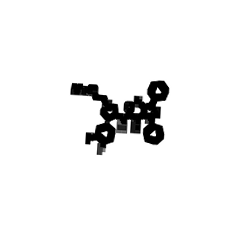 COCCN1C[C@@H](NC(=O)Nc2c(F)c(-c3ccccc3)nn2-c2ccccc2)[C@H](c2ccc(F)c(F)c2)C1